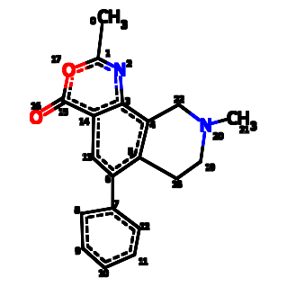 Cc1nc2c3c(c(-c4ccccc4)cc2c(=O)o1)CCN(C)C3